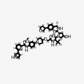 COc1cc(N2CCC(OCC(=O)N[C@H](C(=O)N3C[C@H](O)C[C@H]3C(=O)N[C@@H](C)c3ccc(C4CCOC4)cc3)C(C)(C)C)CC2)ccc1NC(=O)c1cccc(-c2cc[nH]n2)n1